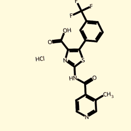 Cc1cnccc1C(=O)Nc1nc(C(=O)O)c(-c2cccc(C(F)(F)F)c2)s1.Cl